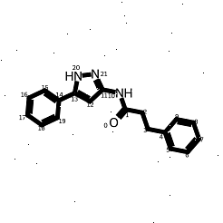 O=C(CCc1ccccc1)Nc1cc(-c2ccccc2)[nH]n1